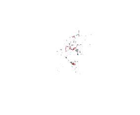 CC(C)C[C@H](C(=O)N[C@H]1C(=O)C[C@@H](CC(N)=O)C(=O)N[C@H]2C(=O)C[C@H]3C(=O)N[C@H](C(=O)N[C@H](C(=O)O)c4cc(O)cc(O)c4-c4cc3ccc4O)[C@H](O)c3ccc(c(Cl)c3)Oc3cc2cc(c3O[C@@H]2O[C@H](CO)[C@@H](O)[C@H](O)[C@H]2O[C@H]2C[C@](C)(NC(N)=O)[C@H](OC(N)=O)[C@H](C)O2)Oc2ccc(cc2Cl)[C@H]1O)N(C)C(=O)OCc1ccc([N+](=O)[O-])cc1